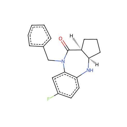 O=C1[C@H]2CCC[C@H]2Nc2ccc(F)cc2N1Cc1ccccc1